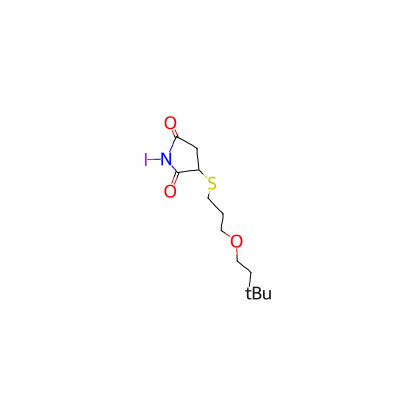 CC(C)(C)CCOCCCSC1CC(=O)N(I)C1=O